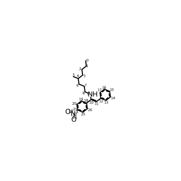 CCCCC(C)CCCNC(=Cc1ccccc1)c1ccc([N+](=O)[O-])cc1